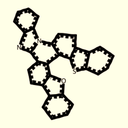 c1ccc2c(c1)nc1c3ccc4c5ccccc5oc4c3c3c4sc5ccccc5c4ccc3n21